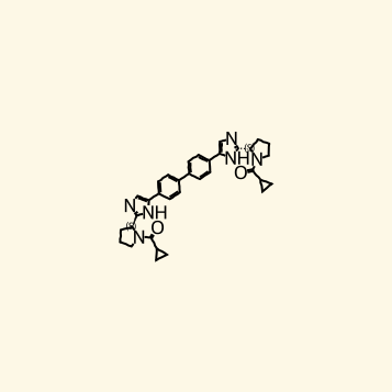 O=C(C1CC1)N1CCC[C@H]1c1ncc(-c2ccc(-c3ccc(-c4cnc([C@@H]5CCCN5C(=O)C5CC5)[nH]4)cc3)cc2)[nH]1